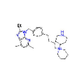 CCc1nc2c(C)cc(C)nc2n1Cc1ccc(CCCC[N+]2(C3CCNCC3)CCCCC2)cc1